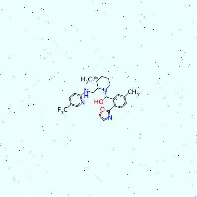 Cc1ccc(-c2ncco2)c(C(O)N2CCC[C@@H](C)C2CNc2ccc(C(F)(F)F)cn2)c1